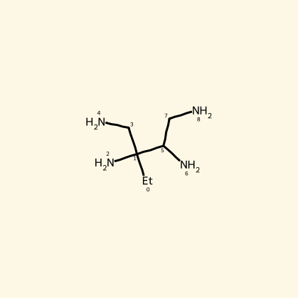 CCC(N)(CN)C(N)CN